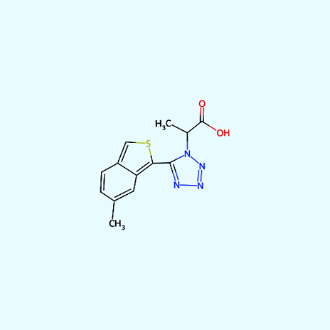 Cc1ccc2csc(-c3nnnn3C(C)C(=O)O)c2c1